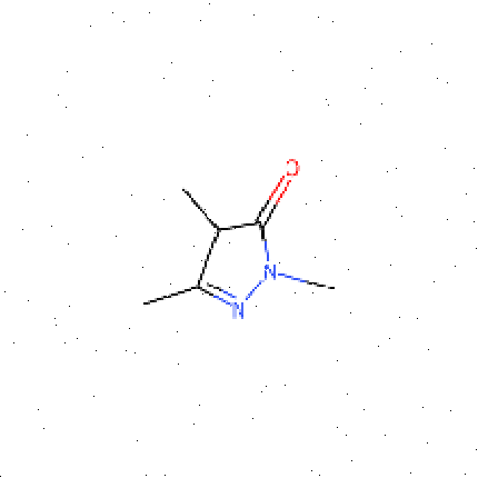 CC1=NN(C)C(=O)C1C